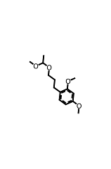 COc1ccc(CCCOC(C)OC)c(OC)c1